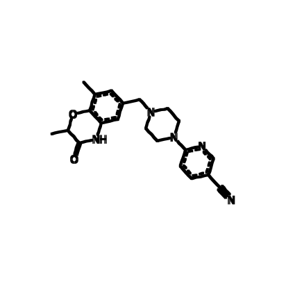 Cc1cc(CN2CCN(c3ccc(C#N)cn3)CC2)cc2c1OC(C)C(=O)N2